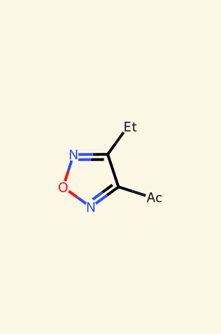 CCc1nonc1C(C)=O